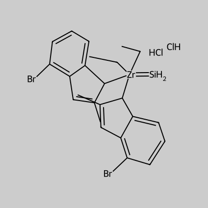 C[CH2][Zr](=[SiH2])([CH2]C)([CH]1C(C)=Cc2c(Br)cccc21)[CH]1C(C)=Cc2c(Br)cccc21.Cl.Cl